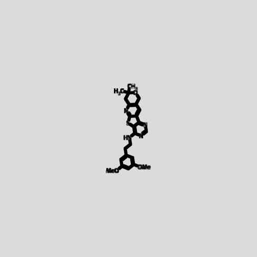 COc1cc(CCNc2ncnc3c2sc2nc4c(cc23)COC(C)(C)C4)cc(OC)c1